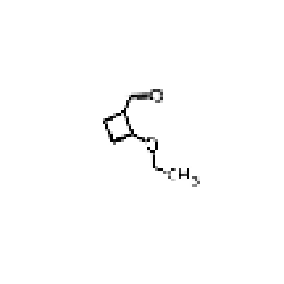 CCOC1CCC1[C]=O